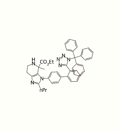 CCCc1nc2c(n1-c1ccc(-c3ccccc3-c3nnnn3C(c3ccccc3)(c3ccccc3)c3ccccc3)cc1)C(C)(C(=O)OCC)NCC2